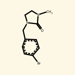 CN1CCN(Cc2ccc(Br)cc2)C1=O